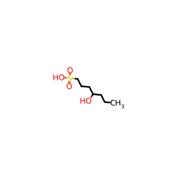 CCCC(O)CCCS(=O)(=O)O